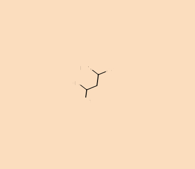 CC(C)C(S)CC(N)C(=O)O